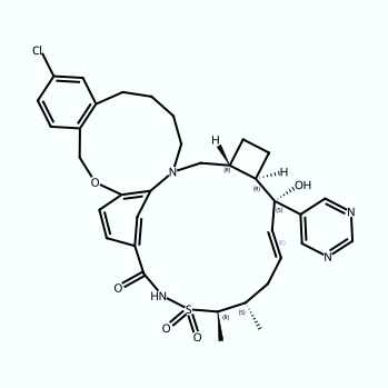 C[C@@H]1[C@@H](C)C/C=C/[C@](O)(c2cncnc2)[C@@H]2CC[C@H]2CN2CCCCc3cc(Cl)ccc3COc3ccc(cc32)C(=O)NS1(=O)=O